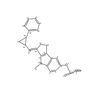 CNC(=O)Oc1ccc2c(c1)c1c(n2C)/C(=N/C2CC2c2ccccc2)CC1